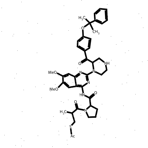 COc1cc2nc(N3CCNCC3C(=O)c3ccc(OC(C)(C)c4ccccc4)cc3)nc(NC(=O)C3CCCN3C(=O)C(C)CSC(C)=O)c2cc1OC